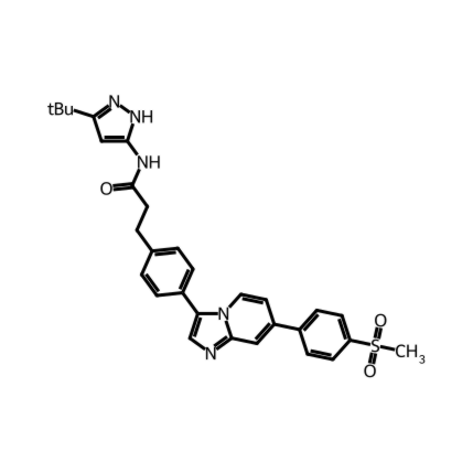 CC(C)(C)c1cc(NC(=O)CCc2ccc(-c3cnc4cc(-c5ccc(S(C)(=O)=O)cc5)ccn34)cc2)[nH]n1